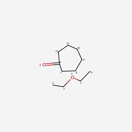 CCOCC.O=C1CCCCCC1